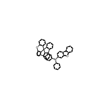 c1ccc(N(c2ccc(-c3cccc4c3C3(c5ccccc5O4)c4ccccc4-c4ccccc43)cc2)c2ccc3c(c2)oc2ccccc23)cc1